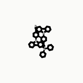 N#Cc1ccc(-n2c3ccccc3c3ccccc32)c(-c2cc(C#N)ccc2-n2c3ccccc3c3cc(N(c4ccccc4)c4ccccc4)ccc32)c1